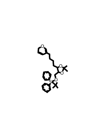 CC1(C)OC(CCCCC2=COCC=C2)C(CO[Si](c2ccccc2)(c2ccccc2)C(C)(C)C)O1